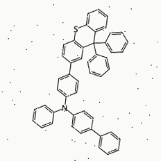 c1ccc(-c2ccc(N(c3ccccc3)c3ccc(-c4ccc5c(c4)C(c4ccccc4)(c4ccccc4)c4ccccc4S5)cc3)cc2)cc1